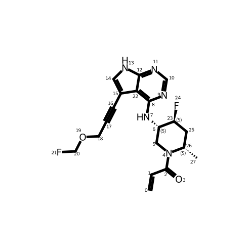 C=CC(=O)N1C[C@H](Nc2ncnc3[nH]cc(C#CCOCF)c23)[C@@H](F)C[C@@H]1C